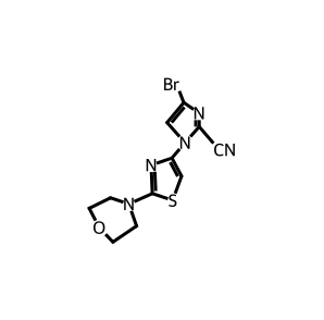 N#Cc1nc(Br)cn1-c1csc(N2CCOCC2)n1